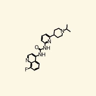 CC(C)N1CCC(c2cccc(NC(=O)Nc3ccnc4c(F)cccc34)n2)CC1